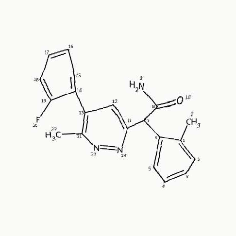 Cc1ccccc1C(C(N)=O)c1cc(-c2ccccc2F)c(C)nn1